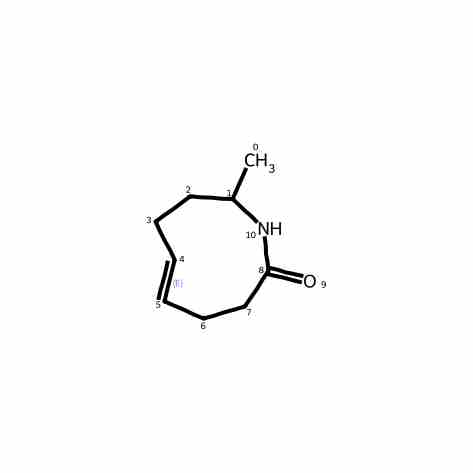 CC1CC/C=C/CCC(=O)N1